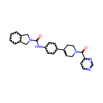 O=C(Nc1ccc(C2=CCN(C(=O)c3ccncn3)CC2)cc1)N1Cc2ccccc2C1